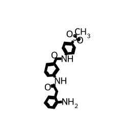 CS(=O)(=O)c1ccc(NC(=O)c2cccc(NC(=O)Cc3ccccc3N)c2)cc1